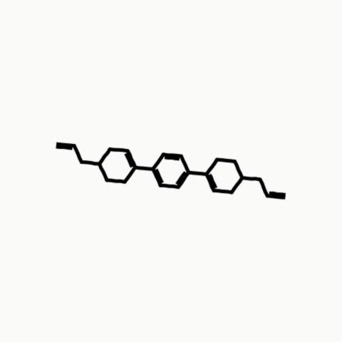 C=CCC1CC=C(c2ccc(C3=CCC(CC=C)CC3)cc2)CC1